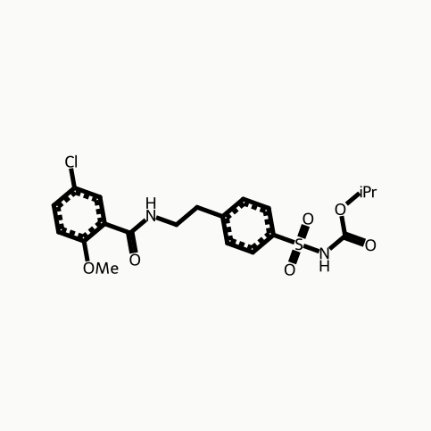 COc1ccc(Cl)cc1C(=O)NCCc1ccc(S(=O)(=O)NC(=O)OC(C)C)cc1